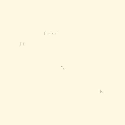 CCOCc1nc2cc(Br)ccc2cc1C(=O)OCC